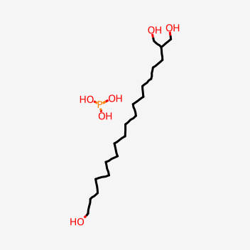 OCCCCCCCCCCCCCCCCCC(CO)CO.OP(O)O